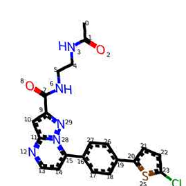 CC(=O)NCCNC(=O)c1cc2nccc(-c3ccc(-c4ccc(Cl)s4)cc3)n2n1